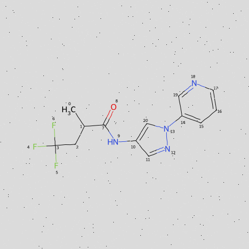 CC(CC(F)(F)F)C(=O)Nc1cnn(-c2cccnc2)c1